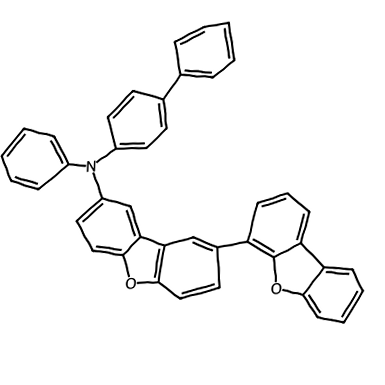 c1ccc(-c2ccc(N(c3ccccc3)c3ccc4oc5ccc(-c6cccc7c6oc6ccccc67)cc5c4c3)cc2)cc1